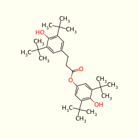 CC(C)(C)c1cc(CCC(=O)Oc2cc(C(C)(C)C)c(O)c(C(C)(C)C)c2)cc(C(C)(C)C)c1O